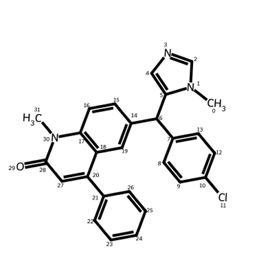 Cn1cncc1C(c1ccc(Cl)cc1)c1ccc2c(c1)c(-c1ccccc1)cc(=O)n2C